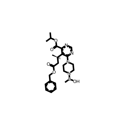 CB(O)N1CCN(c2ncnc(C(=O)OC(C)C)c2[C@H](C)CC(=O)OCc2ccccc2)CC1